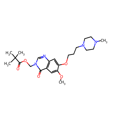 COc1cc2c(=O)n(COC(=O)C(C)(C)C)cnc2cc1OCCCN1CCN(C)CC1